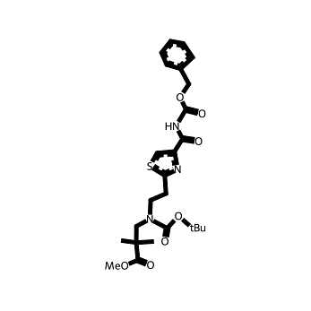 COC(=O)C(C)(C)CN(CCc1nc(C(=O)NC(=O)OCc2ccccc2)cs1)C(=O)OC(C)(C)C